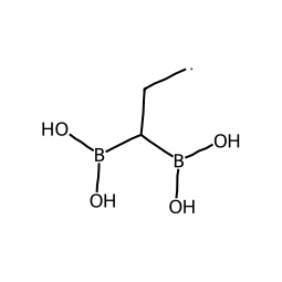 [CH2]CC(B(O)O)B(O)O